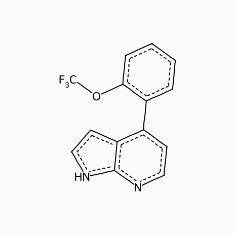 FC(F)(F)Oc1ccccc1-c1ccnc2[nH]ccc12